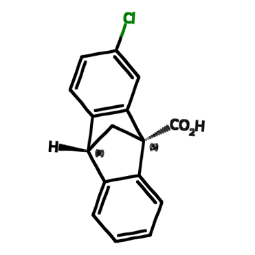 O=C(O)[C@@]12C[C@H](c3ccccc31)c1ccc(Cl)cc12